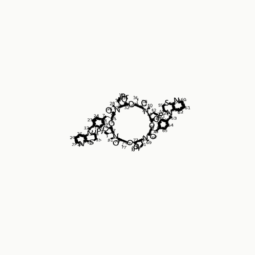 CC(C)C[C@H]1C(=O)O[C@H](Cc2ccc(CN3CCSc4ncccc43)cc2)C(=O)N(C)[C@@H](CC(C)C)C(=O)O[C@H](C)C(=O)N(C)[C@@H](CC(C)C)C(=O)O[C@H](Cc2ccc(CN3CCSc4ncccc43)cc2)C(=O)N(C)[C@@H](CC(C)C)C(=O)O[C@H](C)C(=O)N1C